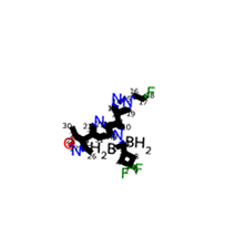 BC(B)(C1CC(F)(F)C1)n1cc(-c2cnn(CCF)c2)c2ncc(-c3c(C)noc3C)cc21